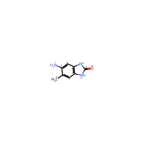 Cc1cc2c(cc1N)[N]C(=O)N2